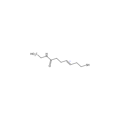 O=C(O)CNC(=O)CC/C=C/CCS